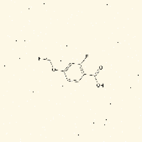 O=C(O)c1ccc(OCF)cc1F